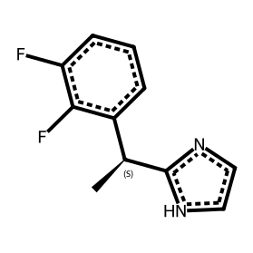 C[C@H](c1ncc[nH]1)c1cccc(F)c1F